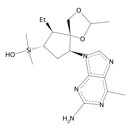 CC[C@@H]1[C@@H]([Si](C)(C)O)C[C@H](n2cnc3c(C)nc(N)nc32)[C@]12COC(C)O2